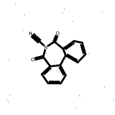 N#Cn1c(=O)c2ccccc2c2ccccc2c1=O